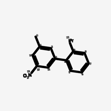 Cc1cc(-c2ccccc2C(C)C)cc([N+](=O)[O-])c1